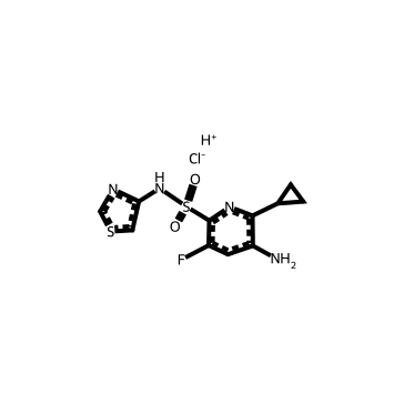 Nc1cc(F)c(S(=O)(=O)Nc2cscn2)nc1C1CC1.[Cl-].[H+]